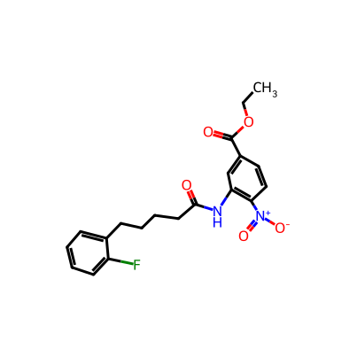 CCOC(=O)c1ccc([N+](=O)[O-])c(NC(=O)CCCCc2ccccc2F)c1